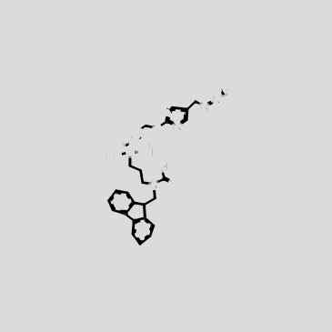 C[Si](C)(CCCN(CC1c2ccccc2-c2ccccc21)C(=O)O)O[Si](C)(C)CSc1ncc(CN=[N+]=[N-])cn1